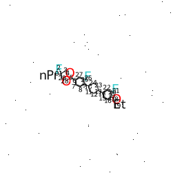 CCCC1(F)COC(c2ccc(C3CCC(c4ccc(OCC)c(F)c4)CC3)c(F)c2)OC1